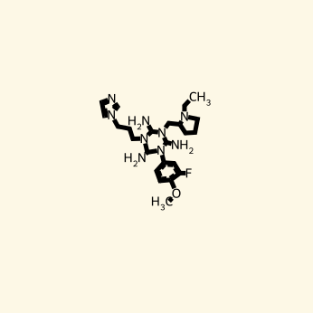 CCN1CCCC1CN1C(N)N(CCCn2ccnc2)C(N)N(c2ccc(OC)c(F)c2)C1N